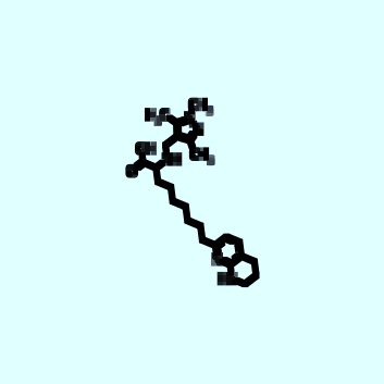 Cc1nn(C)c(C)c1CNC(CCCCCCCc1ccc2c(n1)NCCC2)C(=O)O